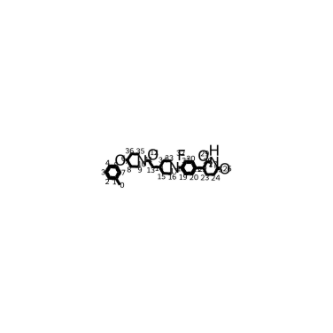 Cc1cccc(OC2CCN(C(=O)CC3CCN(c4ccc(C5CCC(=O)NC5=O)cc4F)CC3)CC2)c1